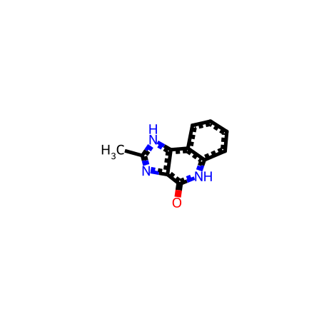 Cc1nc2c(=O)[nH]c3ccccc3c2[nH]1